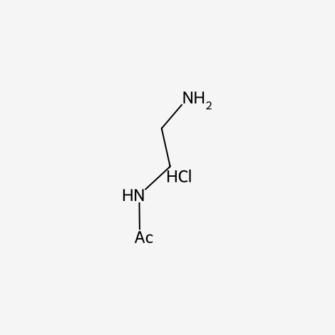 CC(=O)NCCN.Cl